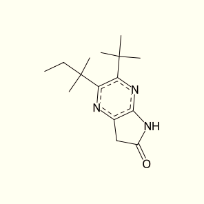 CCC(C)(C)c1nc2c(nc1C(C)(C)C)NC(=O)C2